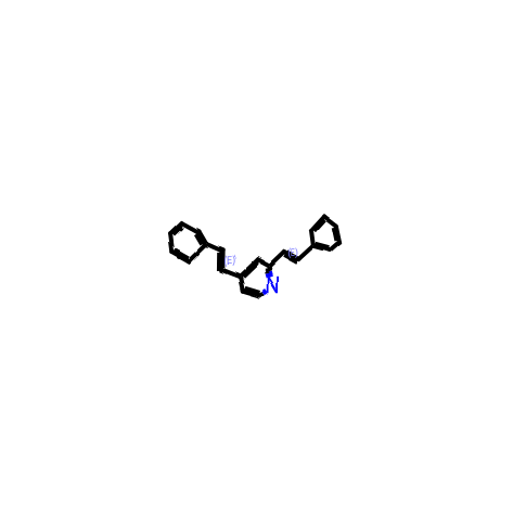 C(=C\c1ccnc(/C=C/c2ccccc2)c1)/c1ccccc1